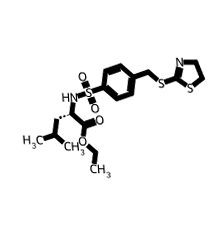 CCOC(=O)[C@H](CC(C)C)NS(=O)(=O)c1ccc(CSC2=NCCS2)cc1